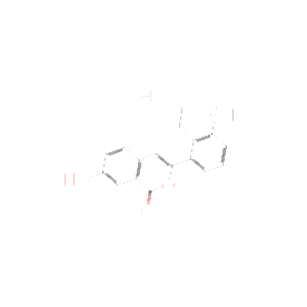 CCCc1c(C)cccc1-c1cc2ccc(O)cc2c(=O)o1